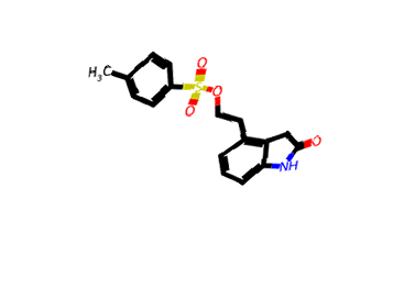 Cc1ccc(S(=O)(=O)OCCc2cccc3c2CC(=O)N3)cc1